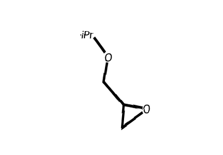 C[C](C)OCC1CO1